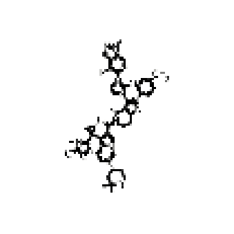 C[C@H]1c2c(nn(-c3ccc(C(F)(F)F)cc3)c2-n2ccn(-c3ccc4c(cnn4C)c3F)c2=O)CCN1C(=O)c1cn2cc([C@@H]3CCOC(C)(C)C3)ccc2c1C1(c2noc(=O)[nH]2)CC1